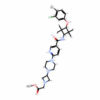 CC(C)(C)OC(=O)CN1CC(N2CCN(c3ccc(C(=O)NC4C(C)(C)C(Oc5ccc(C#N)c(Cl)c5)C4(C)C)cn3)CC2)C1